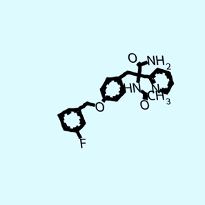 CC(=O)NC(Cc1ccc(OCc2cccc(F)c2)cc1)(C(N)=O)c1ccccn1